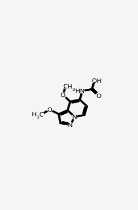 COc1cnn2ccc(NC(=O)O)c(OC)c12